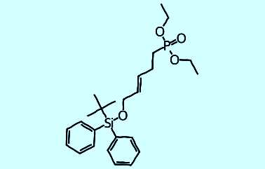 CCOP(=O)(CC/C=C/CO[Si](c1ccccc1)(c1ccccc1)C(C)(C)C)OCC